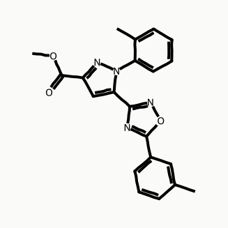 COC(=O)c1cc(-c2noc(-c3cccc(C)c3)n2)n(-c2ccccc2C)n1